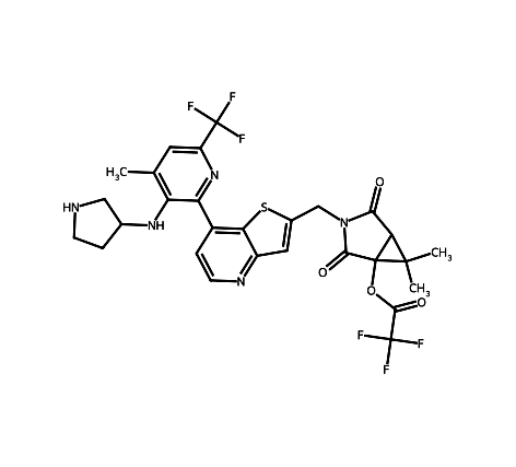 Cc1cc(C(F)(F)F)nc(-c2ccnc3cc(CN4C(=O)C5C(C)(C)C5(OC(=O)C(F)(F)F)C4=O)sc23)c1NC1CCNC1